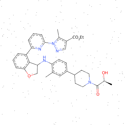 CCOC(=O)c1cnn(-c2cccc(-c3cccc4c3C(Nc3ccc(C5CCN(C(=O)[C@H](C)O)CC5)cc3C)CO4)n2)c1C